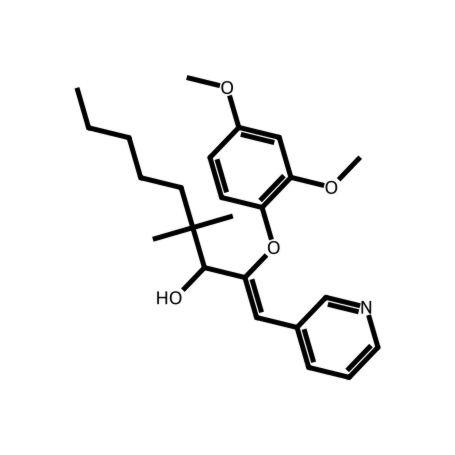 CCCCCC(C)(C)C(O)C(=Cc1cccnc1)Oc1ccc(OC)cc1OC